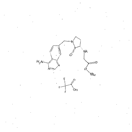 CC(C)(C)OC(=O)CN[C@H]1CCN(Cc2ccc3c(N)ncnc3c2)C1=O.O=C(O)C(F)(F)F